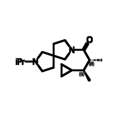 CC(C)N1CCC2(CCN(C(=O)[C@H](C)[C@@H](C)C3CC3)C2)C1